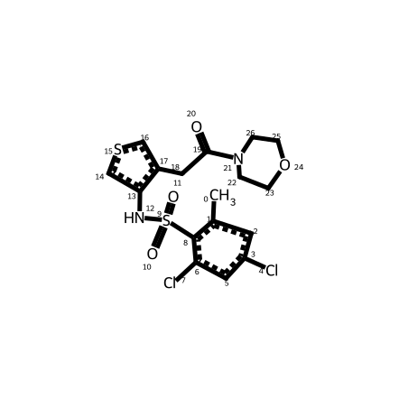 Cc1cc(Cl)cc(Cl)c1S(=O)(=O)Nc1cscc1CC(=O)N1CCOCC1